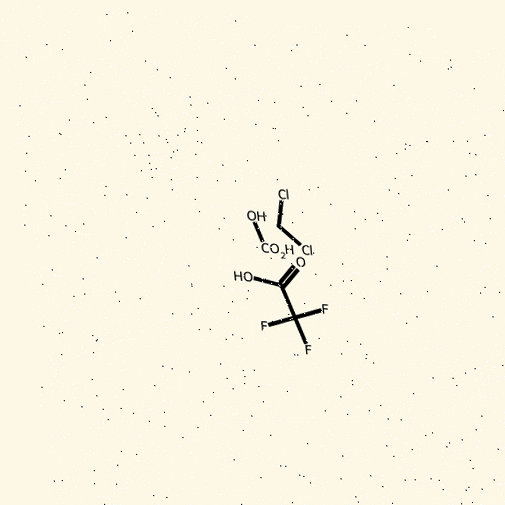 ClCCl.O=C(O)C(F)(F)F.O=C(O)O